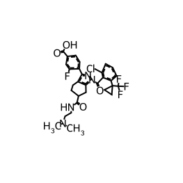 CN(C)CCNC(=O)C1CCc2c(-c3ccc(C(=O)O)cc3F)nn(C(=O)c3c(Cl)cccc3C3(C(F)(F)F)CC3)c2C1